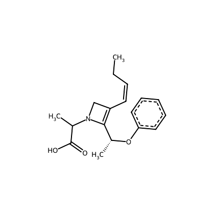 CC/C=C\C1=C([C@@H](C)Oc2ccccc2)N(C(C)C(=O)O)C1